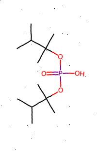 CC(C)C(C)(C)OP(=O)(O)OC(C)(C)C(C)C